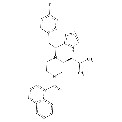 CC(C)C[C@H]1CN(C(=O)c2cccc3ccccc23)CCN1C(Cc1ccc(F)cc1)c1cnc[nH]1